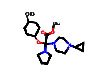 CC(C)(C)OC(=O)C(O[C@H]1CC[C@H]([C]=O)CC1)(N1CCCC1)N1CCN(C2CC2)CC1